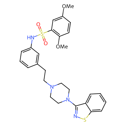 COc1ccc(OC)c(S(=O)(=O)Nc2cccc(CCN3CCN(c4nsc5ccccc45)CC3)c2)c1